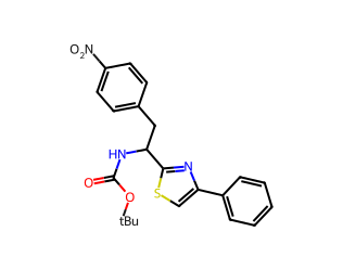 CC(C)(C)OC(=O)NC(Cc1ccc([N+](=O)[O-])cc1)c1nc(-c2ccccc2)cs1